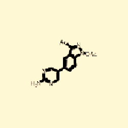 CC(=O)On1nc(C(C)=O)c2cc(-c3cnc(N)nc3)ccc21